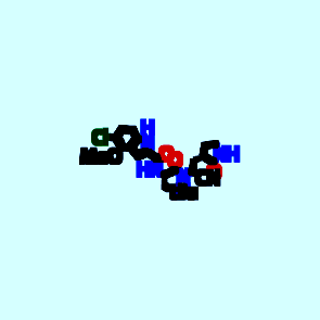 COc1c(Cl)ccc2[nH]c(C(=O)N[C@@H](CC(C)(C)C)C(=O)N[C@H](C#N)C[C@@H]3CCNC3=O)cc12